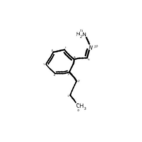 CCCc1ccccc1/C=N\N